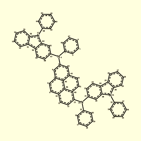 c1ccc(N(c2cc3ccc4ccc(N(c5ccccc5)c5ccc6c7ccccc7n(-c7ccccc7)c6c5)c5ccc(c2)c3c45)c2ccc3c4ccccc4n(-c4ccccc4)c3c2)cc1